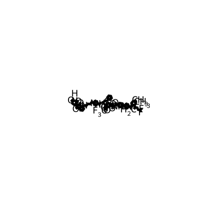 C=C(CCC(F)F)C1=C(CN2CCN(c3ccc(C(=O)NS(=O)(=O)c4ccc(N[C@H](CCN5CCN(CCCCNc6cccc7c6C(=O)N(C6CCC(=O)NC6=O)C7=O)CC5)CSc5ccccc5)c(S(=O)(=O)C(F)(F)F)c4)cc3)CC2)CCC(C)(C)C1